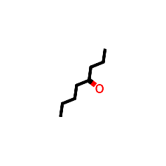 CCCCC(=O)CCC